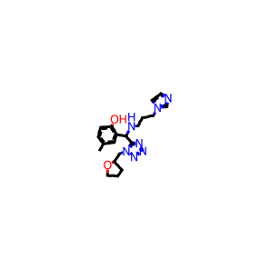 Cc1ccc(O)c(C(NCCCn2ccnc2)c2nnnn2CC2CCCO2)c1